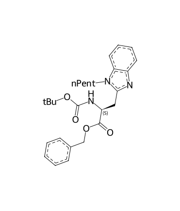 CCCCCn1c(C[C@H](NC(=O)OC(C)(C)C)C(=O)OCc2ccccc2)nc2ccccc21